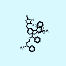 CN(CCOC(c1ccccc1)C1(OCCN(C)c2ccccn2)CC=C(CC2SC(=O)NC2=O)C=C1C1SC(=O)NC1=O)c1ccccn1